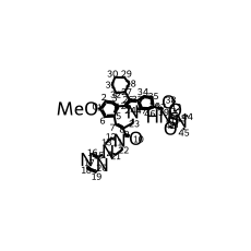 COc1ccc2c(c1)C=C(C(=O)N1CCN(c3cnccn3)CC1)Cn1c-2c(C2CCCCC2)c2ccc(C(=O)NS(=O)(=O)N(C)C)cc21